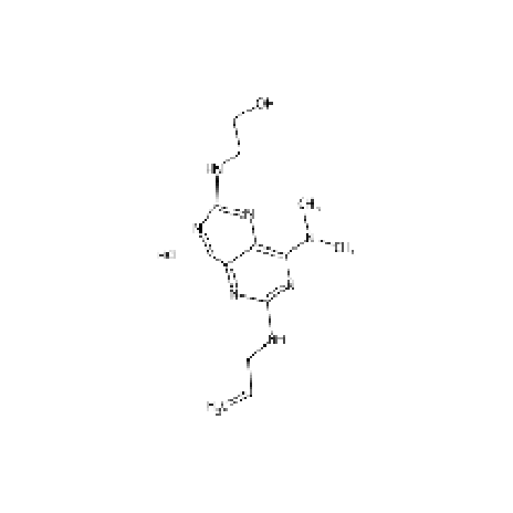 C=CCNc1nc(N(C)C)c2nc(NCCO)ncc2n1.Cl